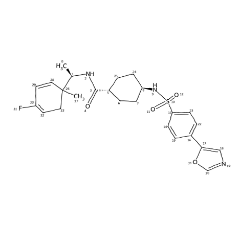 C[C@@H](NC(=O)[C@H]1CC[C@H](NS(=O)(=O)c2ccc(-c3cnco3)cc2)CC1)C1(C)C=CC(F)=CC1